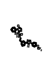 CCc1ccccc1N1C(=O)CS/C1=N\C(=O)NCCc1cccc(C2N=CN(c3ccc(OC(F)(F)F)cc3)N2)c1